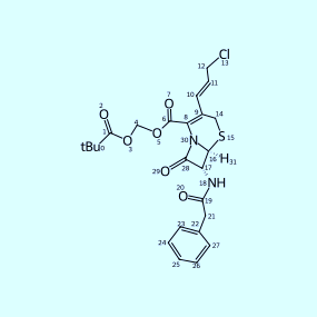 CC(C)(C)C(=O)OCOC(=O)C1=C(C=CCCl)CS[C@H]2[C@H](NC(=O)Cc3ccccc3)C(=O)N12